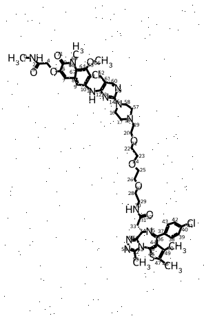 CNC(=O)COc1cc2cc(Nc3nc(N4CCN(CCOCCOCCOCCNC(=O)C[C@@H]5N=C(c6ccc(Cl)cc6)c6c(sc(C)c6C)-n6c(C)nnc65)CC4)ncc3Cl)cc(OC)c2n(C)c1=O